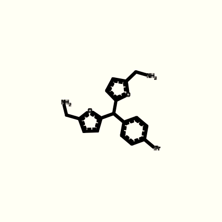 CC(C)c1ccc(C(c2ccc(CN)o2)c2ccc(CN)o2)cc1